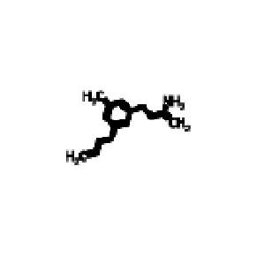 C=CCCc1cc(C)cc(CCC(=C)N)c1